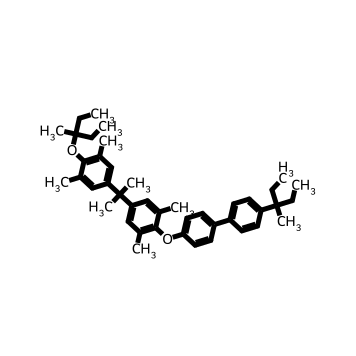 CCC(C)(CC)Oc1c(C)cc(C(C)(C)c2cc(C)c(Oc3ccc(-c4ccc(C(C)(CC)CC)cc4)cc3)c(C)c2)cc1C